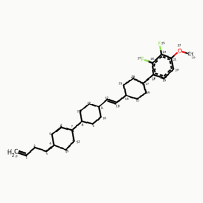 C=CCCC1CCC(C2CCC(/C=C/C3CCC(c4ccc(OCC)c(F)c4F)CC3)CC2)CC1